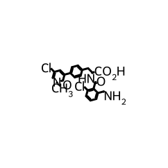 Cn1cc(Cl)cc(-c2ccc(CC(NC(=O)c3c(Cl)cccc3CN)C(=O)O)cc2)c1=O